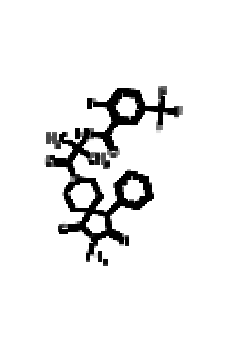 CN1C(=O)C(c2ccccc2)C2(CCN(C(=O)C(C)(C)NC(=O)c3cc(C(F)(F)F)ccc3F)CC2)C1=O